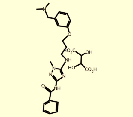 CN(C)Cc1cccc(OCCCNc2nc(NC(=O)c3ccccc3)nn2C)c1.O=C(O)C(O)C(O)C(=O)O